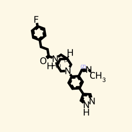 C/N=C\c1cc(-c2cn[nH]c2)ccc1N1C[C@@H]2C[C@@H](C1)N(C(=O)CCc1ccc(F)cc1)C2